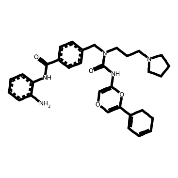 Nc1ccccc1NC(=O)c1ccc(CN(CCCN2CCCC2)C(=O)NC2=COC=C(C3=CC=CCC3)O2)cc1